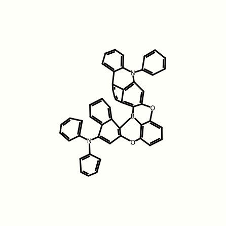 c1ccc(N(c2ccccc2)c2cc3c(c4ccccc24)B2c4c(cccc4Oc4cc5c6c(cccc6c42)-c2ccccc2N5c2ccccc2)O3)cc1